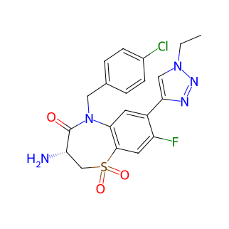 CCn1cc(-c2cc3c(cc2F)S(=O)(=O)C[C@H](N)C(=O)N3Cc2ccc(Cl)cc2)nn1